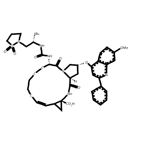 COc1ccc2c(O[C@@H]3C[C@H]4C(=O)N[C@]5(C(=O)O)CC5/C=C\CCCCC[C@H](NC(=O)N[C@H](CN5CCCS5(=O)=O)C(C)(C)C)C(=O)N4C3)cc(-c3ccccc3)nc2c1